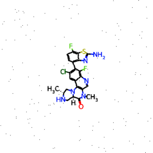 C[C@@H]1CN2c3c(cnc4c(F)c(-c5ccc(F)c6sc(N)nc56)c(Cl)cc34)N(C)C(=O)[C@H]2CN1